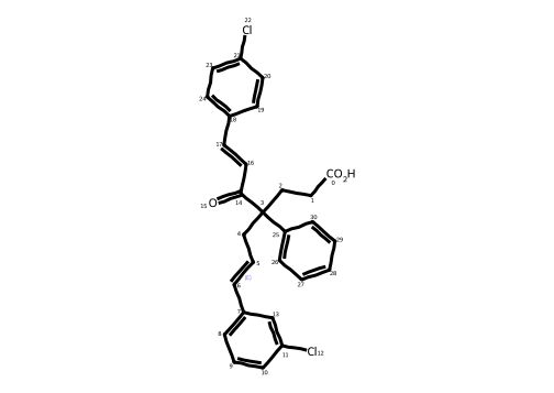 O=C(O)CCC(C/C=C/c1cccc(Cl)c1)(C(=O)C=Cc1ccc(Cl)cc1)c1ccccc1